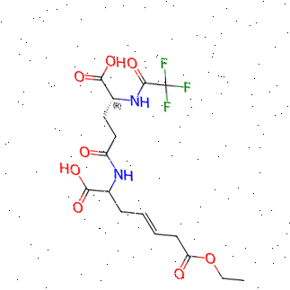 CCOC(=O)CC=CCC(NC(=O)CC[C@@H](NC(=O)C(F)(F)F)C(=O)O)C(=O)O